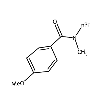 CCCN(C)C(=O)c1ccc(OC)cc1